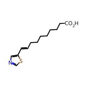 O=C(O)CCCCCCC/C=C/c1cncs1